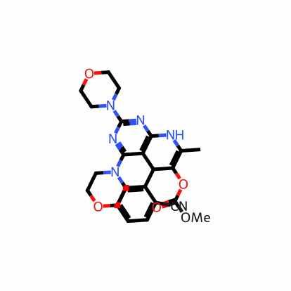 COC(=O)OC1=C(C)Nc2nc(N3CCOCC3)nc(N3CCOCC3)c2C1c1ccccc1C#N